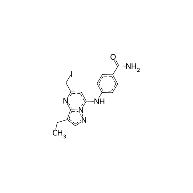 CCc1cnn2c(Nc3ccc(C(N)=O)cc3)cc(CI)nc12